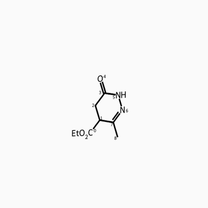 CCOC(=O)C1CC(=O)NN=C1C